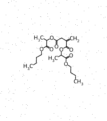 C=C(CC(=O)OC(C)C(=O)OCCCC)C(=O)OC(C)C(=O)OCCCC